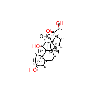 C[C@]12CCC(O)CC1CC[C@H]1[C@@H]3CC[C@H](C(=O)CO)[C@@]3(C=O)CC(O)[C@@H]12